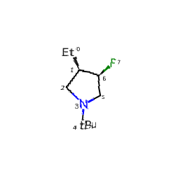 CC[C@@H]1CN(C(C)(C)C)C[C@@H]1F